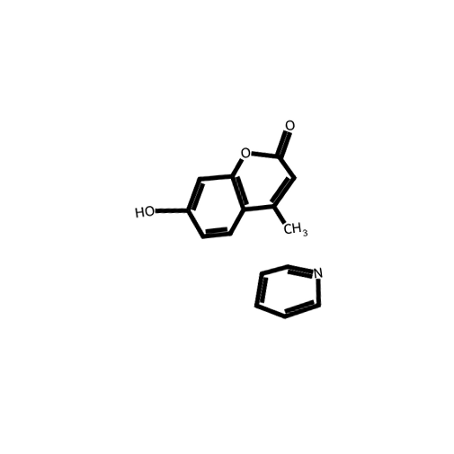 Cc1cc(=O)oc2cc(O)ccc12.c1ccncc1